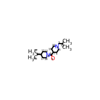 CC(C)CN1CCC(C(=O)N2CCC(C(C)C)CC2)CC1